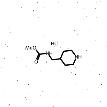 COC(=O)NCC1CCNCC1.Cl